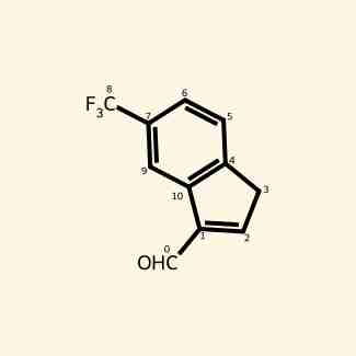 O=CC1=CCc2ccc(C(F)(F)F)cc21